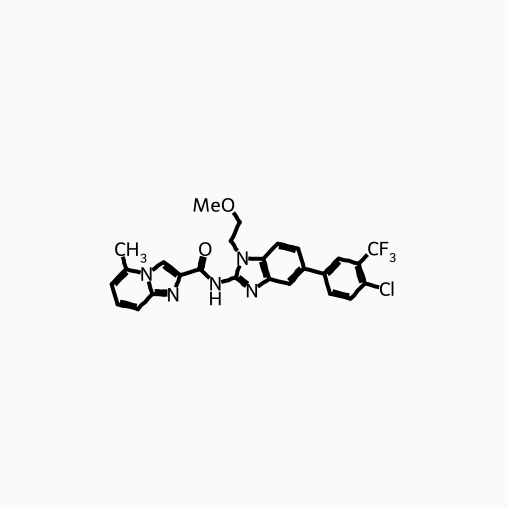 COCCn1c(NC(=O)c2cn3c(C)cccc3n2)nc2cc(-c3ccc(Cl)c(C(F)(F)F)c3)ccc21